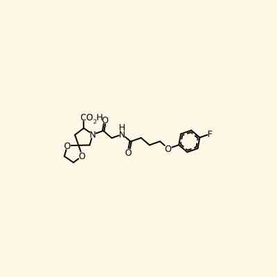 O=C(CCCOc1ccc(F)cc1)NCC(=O)N1CC2(CC1C(=O)O)OCCO2